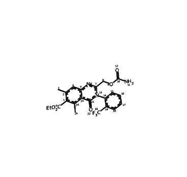 CCOC(=O)c1c(C)cc2nc(COC(N)=O)n(-c3ccccc3C(F)(F)F)c(=O)c2c1C